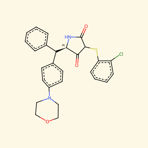 O=C1N[C@H](C(c2ccccc2)c2ccc(N3CCOCC3)cc2)C(=O)C1Sc1ccccc1Cl